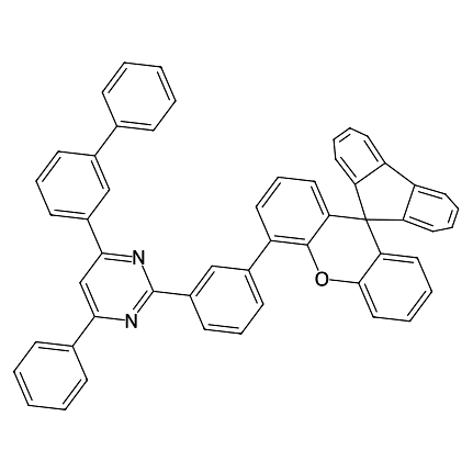 c1ccc(-c2cccc(-c3cc(-c4ccccc4)nc(-c4cccc(-c5cccc6c5Oc5ccccc5C65c6ccccc6-c6ccccc65)c4)n3)c2)cc1